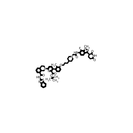 Cc1c(OCCCC2CCN(CC(=O)Nc3ccc4c(C5CCC(=O)NC5=O)nn(C)c4c3F)CC2)cccc1-c1ccc(N2CCc3cccc(C(=O)Nc4nc5ccccc5s4)c3C2)nc1C(=O)OC(C)(C)C